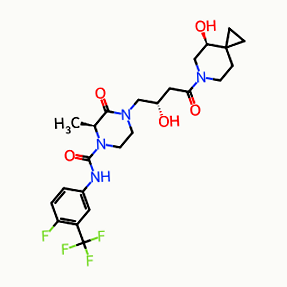 C[C@H]1C(=O)N(C[C@@H](O)CC(=O)N2CCC3(CC3)[C@H](O)C2)CCN1C(=O)Nc1ccc(F)c(C(F)(F)F)c1